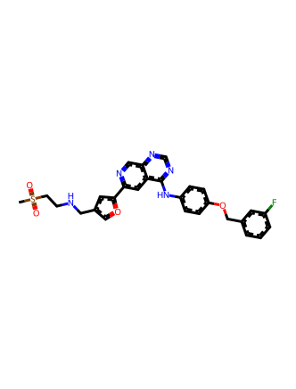 CS(=O)(=O)CCNCc1coc(-c2cc3c(Nc4ccc(OCc5cccc(F)c5)cc4)ncnc3cn2)c1